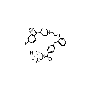 CCN(CC)C(=O)c1ccc(Cc2ccccc2OCCN2CCC(c3nsc4cc(F)ccc34)CC2)cc1